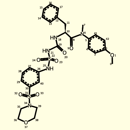 COc1ccc(N(C)C(=O)[C@H](Cc2ccccc2)NC(=O)NS(=O)(=O)Nc2cccc(S(=O)(=O)N3CCOCC3)c2)cc1